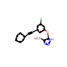 O=C(O)c1nn[nH]c1Oc1cc(F)cc(C#Cc2ccccc2)c1